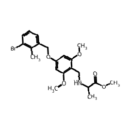 COC(=O)C(C)NCc1c(OC)cc(OCc2cccc(Br)c2C)cc1OC